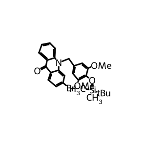 COc1cc(Cn2c3ccccc3c(=O)c3ccc(Br)cc32)cc(OC)c1O[Si](C)(C)C(C)(C)C